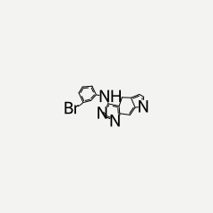 Brc1cccc(Nc2ncnc3c2CC2=CC=NC2=C3)c1